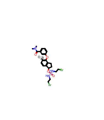 CN(C)C(=O)c1cccc(Oc2c([N+](=O)[O-])ccc3c2CCC3OP(=O)(NCCBr)NCCBr)c1